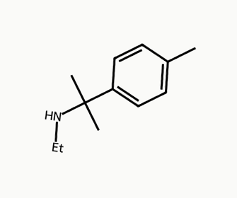 CCNC(C)(C)c1ccc(C)cc1